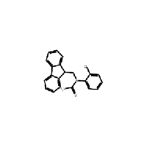 NC(=O)N(CC1c2ccccc2-c2ccccc21)c1ccccc1Cl